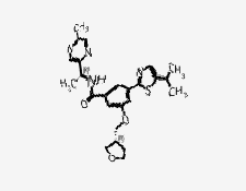 Cc1cnc([C@@H](C)NC(=O)c2cc(OC[C@@H]3CCOC3)cc(-c3ncc(C(C)C)s3)c2)cn1